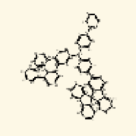 c1ccc(-c2ccc(N(c3ccc(-c4ccc5c(c4)C4(c6ccccc6-c6ccccc64)c4cccnc4-5)cc3)c3ccc(-c4ccccc4)c(-c4cccc5c4oc4ccccc45)c3)cc2)cc1